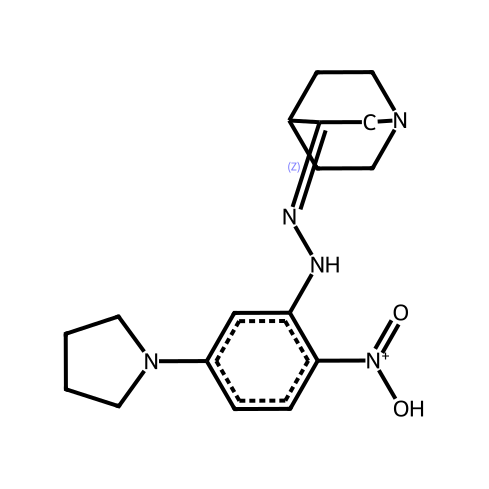 O=[N+](O)c1ccc(N2CCCC2)cc1N/N=C1\CN2CCC1CC2